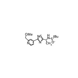 COCc1cc(-c2nsc([C@H](C)N[S@+]([O-])C(C)(C)C)n2)ccn1